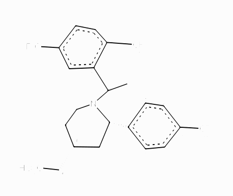 CC(c1cc(C(F)(F)F)ccc1C(F)(F)F)N1CC[C@@H](CC(=O)O)C[C@H]1c1ccc(C(F)(F)F)cc1